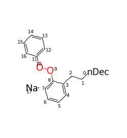 CCCCCCCCCCCCc1ccccc1OOc1ccccc1.[Na]